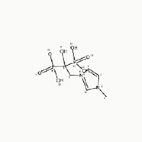 Cn1cc[n+](CC(O)(P(=O)([O-])O)P(=O)(O)O)c1